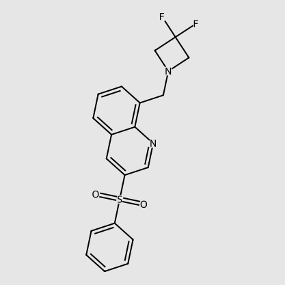 O=S(=O)(c1ccccc1)c1cnc2c(CN3CC(F)(F)C3)cccc2c1